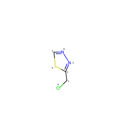 ClCc1nn[c]s1